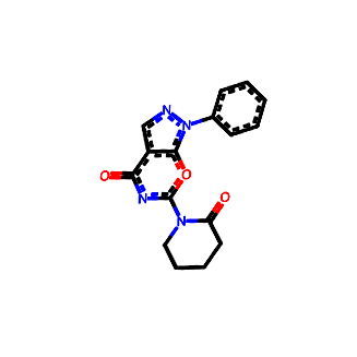 O=C1CCCCN1c1nc(=O)c2cnn(-c3ccccc3)c2o1